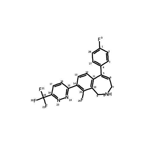 Fc1ccc(C2=CCNCc3c2ccc(-c2ccc(C(F)(F)F)nn2)c3F)cc1